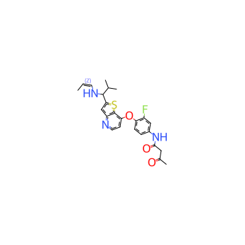 C/C=C\NC(c1cc2nccc(Oc3ccc(NC(=O)CC(C)=O)cc3F)c2s1)C(C)C